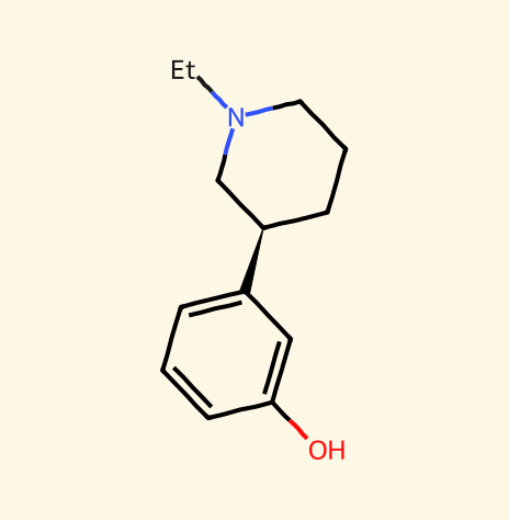 CCN1CCC[C@@H](c2cccc(O)c2)C1